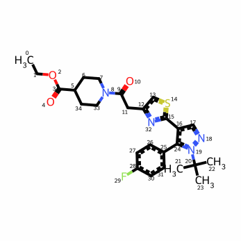 CCOC(=O)C1CCN(C(=O)Cc2csc(-c3cnn(C(C)(C)C)c3-c3ccc(F)cc3)n2)CC1